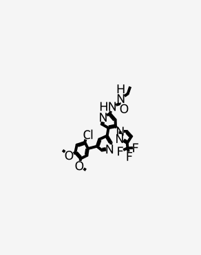 CCNC(=O)Nc1cc(-n2ccc(C(F)(F)F)n2)c(-c2cncc(-c3cc(OC)c(OC)cc3Cl)c2)cn1